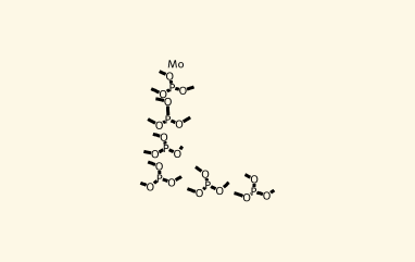 COP(OC)OC.COP(OC)OC.COP(OC)OC.COP(OC)OC.COP(OC)OC.COP(OC)OC.[Mo]